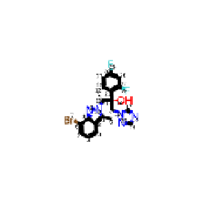 Cc1c2cccc(Br)c2nn1[C@H](C)[C@](O)(Cn1cncn1)c1ccc(F)cc1F